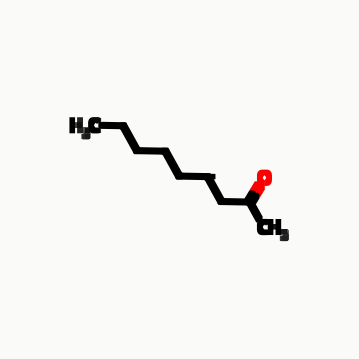 CCCCC[CH]CC(C)=O